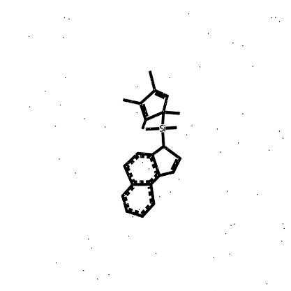 CC1=CC(C)([Si](C)(C)C2C=Cc3c2ccc2ccccc32)C(C)=C1C